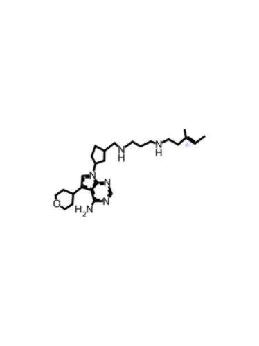 C/C=C(\C)CCNCCCNCC1CCC(n2cc(C3CCOCC3)c3c(N)ncnc32)C1